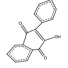 O=C1C(O)=C(c2ccccc2)C(=O)c2ccccc21